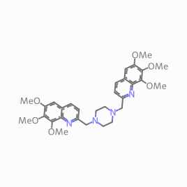 COc1cc2ccc(CN3CCN(Cc4ccc5cc(OC)c(OC)c(OC)c5n4)CC3)nc2c(OC)c1OC